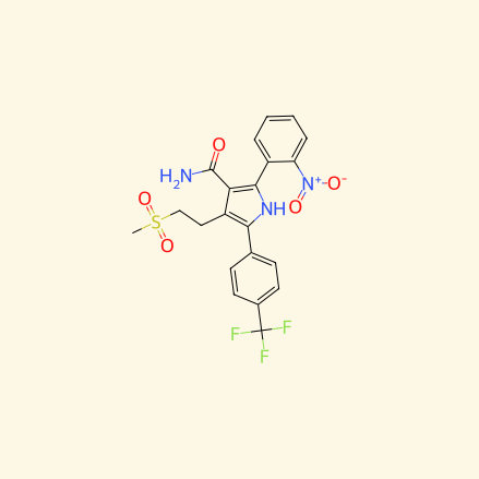 CS(=O)(=O)CCc1c(-c2ccc(C(F)(F)F)cc2)[nH]c(-c2ccccc2[N+](=O)[O-])c1C(N)=O